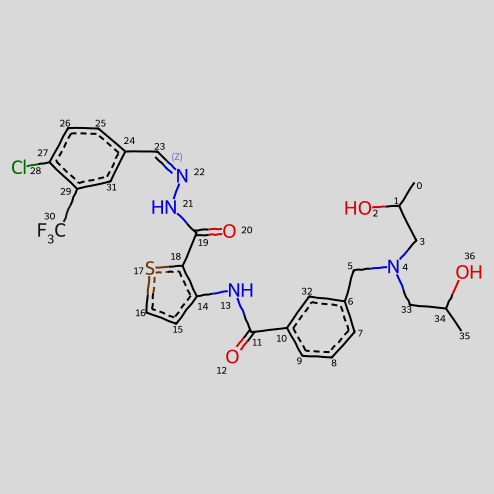 CC(O)CN(Cc1cccc(C(=O)Nc2ccsc2C(=O)N/N=C\c2ccc(Cl)c(C(F)(F)F)c2)c1)CC(C)O